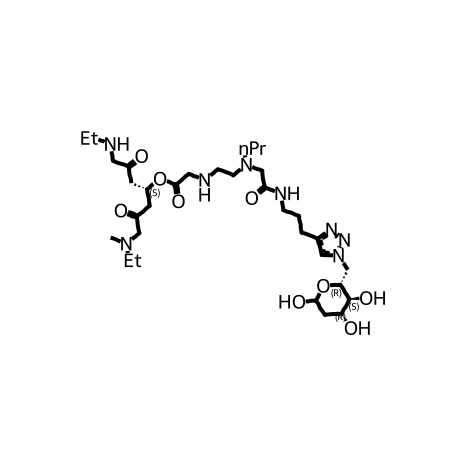 CCCN(CCNCC(=O)O[C@@H](CC(=O)CNCC)CC(=O)CN(C)CC)CC(=O)NCCCc1cn(C[C@H]2OC(O)C[C@@H](O)[C@@H]2O)nn1